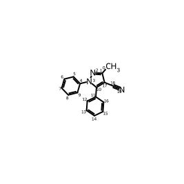 Cc1nn(-c2ccccc2)c(-c2ccccc2)c1C#N